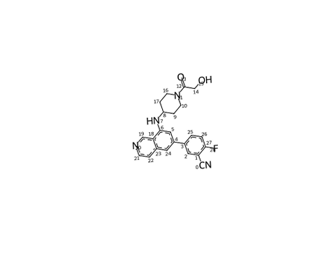 N#Cc1cc(-c2cc(NC3CCN(C(=O)CO)CC3)c3cnccc3c2)ccc1F